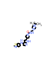 CC(C)N1CCN(CCNC(=O)N2CC=C(c3cc4c(Nc5ccc6ncsc6c5)ccnc4[nH]3)CC2)CC1